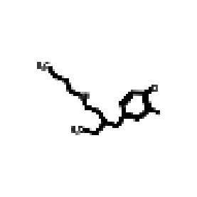 CCCCNCCC(CC)Cc1ccc(Cl)c(I)c1